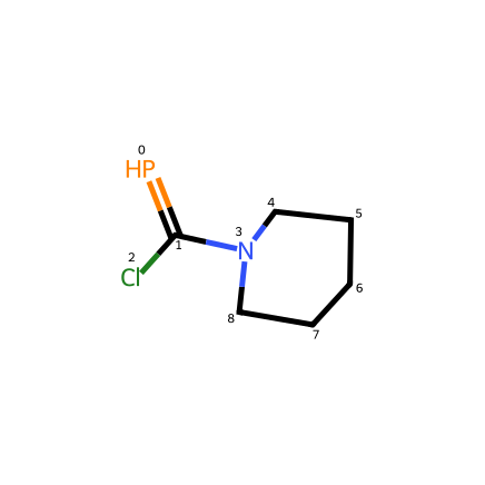 P=C(Cl)N1CCCCC1